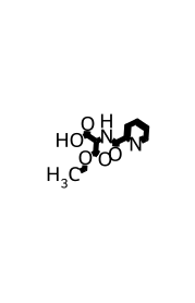 CCOC(=O)C(NC(=O)c1ccccn1)C(=O)O